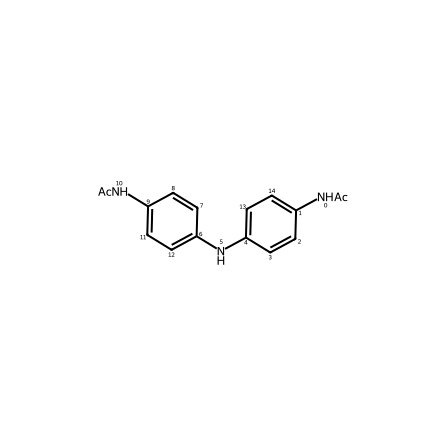 CC(=O)Nc1ccc(Nc2ccc(NC(C)=O)cc2)cc1